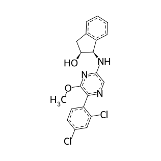 COc1nc(N[C@@H]2c3ccccc3C[C@@H]2O)cnc1-c1ccc(Cl)cc1Cl